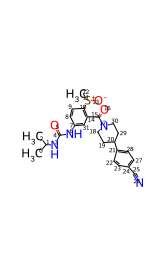 CC(C)NC(=O)Nc1ccc([S+](C)[O-])c(C(=O)N2CCC(c3ccc(C#N)cc3)CC2)c1